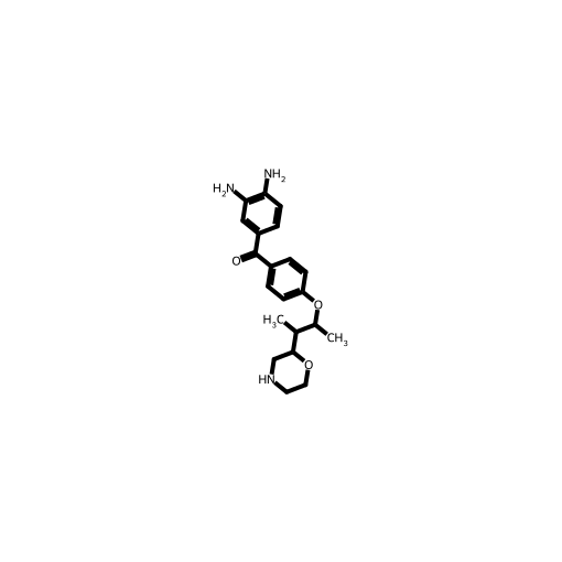 CC(Oc1ccc(C(=O)c2ccc(N)c(N)c2)cc1)C(C)C1CNCCO1